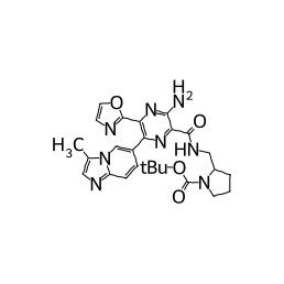 Cc1cnc2ccc(-c3nc(C(=O)NCC4CCCN4C(=O)OC(C)(C)C)c(N)nc3-c3ncco3)cn12